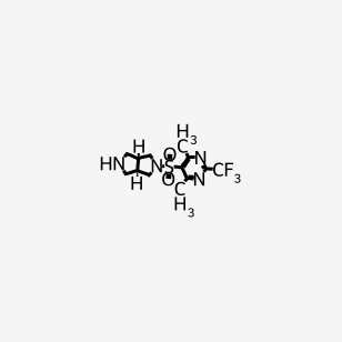 Cc1nc(C(F)(F)F)nc(C)c1S(=O)(=O)N1C[C@H]2CNC[C@@H]2C1